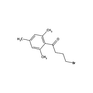 Cc1cc(C)c(C(=O)CCCBr)c(C)c1